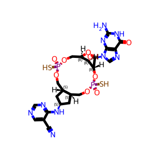 N#Cc1cncnc1N[C@H]1C[C@@H]2COP(=O)(S)OC[C@H]3O[C@@H](n4cnc5c(=O)[nH]c(N)nc54)[C@H](OP(=O)(S)OC[C@H]2C1)[C@@H]3O